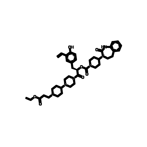 C=Cc1cc(C[C@@H](OC(=O)N2CCC(N3CCc4ccccc4NC3=O)CC2)C(=O)N2CCN(C3CCN(CCC(=O)OCC)CC3)CC2)ccc1O